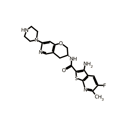 Cc1nc2sc(C(=O)N[C@H]3COc4cc(N5CCNCC5)ncc4C3)c(N)c2cc1F